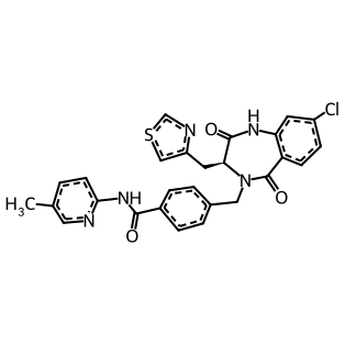 Cc1ccc(NC(=O)c2ccc(CN3C(=O)c4ccc(Cl)cc4NC(=O)[C@@H]3Cc3cscn3)cc2)nc1